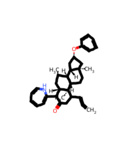 C=C=CC1CC(=O)C(C2=CC=CC=CN2)[C@@H]2C[C@H](C)[C@H]3[C@@H]4C[C@H](Oc5ccccc5)C[C@@]4(C)CC[C@@H]3[C@@]12C